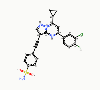 NS(=O)(=O)c1ccc(C#Cc2cnn3c(C4CC4)cc(-c4ccc(Cl)c(Cl)c4)nc23)cc1